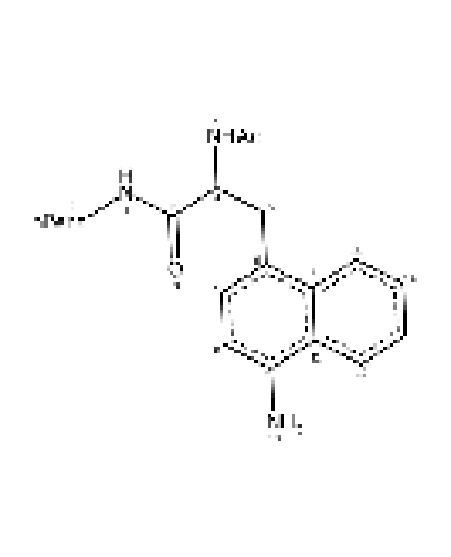 CCCCCNC(=O)C(Cc1ccc(N)c2ccccc12)NC(C)=O